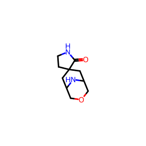 O=C1NCCC12CC1COCC(C2)N1